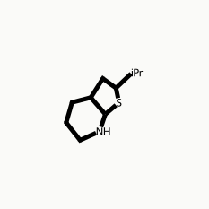 CC(C)C1CC2CCCNC2S1